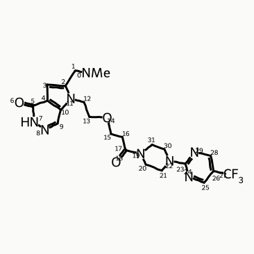 CNCc1cc2c(=O)[nH]ncc2n1CCOCCC(=O)N1CCN(c2ncc(C(F)(F)F)cn2)CC1